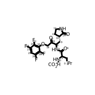 CC(C)CC(NC(=O)O)C(=O)NC(C[C@@H]1CCNC1=O)C(=O)COc1c(F)c(F)cc(F)c1F